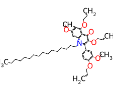 C=CCOc1ccc(-c2c(OCC=C)c(=O)c3c(OCC=C)cc(OC)cc3n2CCCCCCCCCCCCCCCC)cc1OC